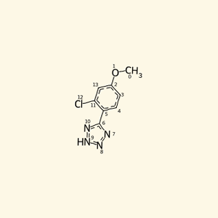 COc1ccc(-c2nn[nH]n2)c(Cl)c1